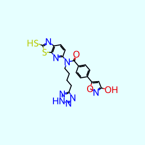 O=C(c1ccc(-c2cc(O)no2)cc1)N(CCCCc1nn[nH]n1)c1ccc2nc(S)sc2n1